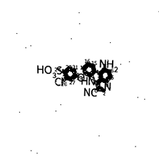 N#Cc1cnc2ccc(N)cc2c1Nc1ccccc1Oc1ccc(S(=O)(=O)O)c(Cl)c1